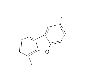 Cc1ccc2oc3c(C)cccc3c2c1